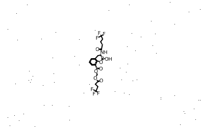 O=C(CCCC(F)(F)F)N[C@H]1Cc2cccc(C(=O)OCOC(=O)CCC(F)(F)F)c2OB1O